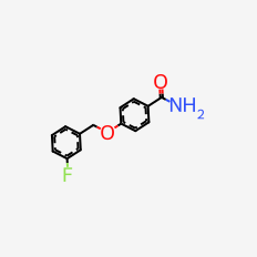 NC(=O)c1ccc(OCc2cccc(F)c2)cc1